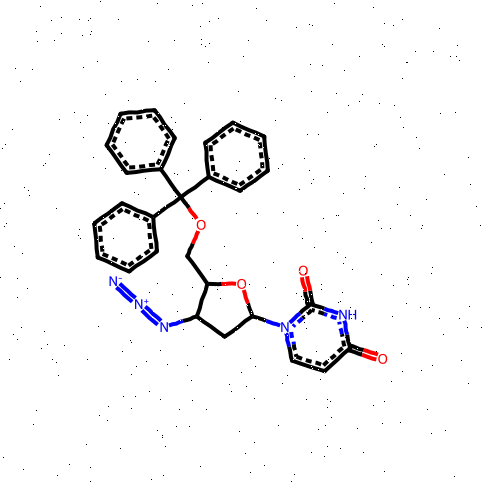 [N-]=[N+]=NC1CC(n2ccc(=O)[nH]c2=O)OC1COC(c1ccccc1)(c1ccccc1)c1ccccc1